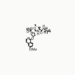 C=C[C@@H]1C[C@]1(NC(=O)[C@@H]1C[C@@H](Oc2nccc3cc(OC)ccc23)CN1C(=O)OC(C)(C)C)C(=O)NS(=O)(=O)C1(C)CC1